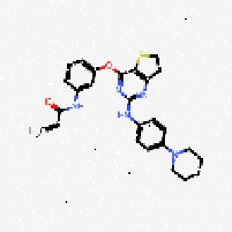 C=CC(=O)Nc1cccc(Oc2nc(Nc3ccc(N4CCCCC4)cc3)nc3c2SCC3)c1